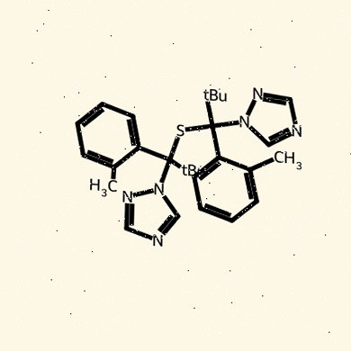 Cc1ccccc1C(SC(c1ccccc1C)(n1cncn1)C(C)(C)C)(n1cncn1)C(C)(C)C